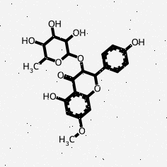 COc1cc(O)c2c(c1)OC(c1ccc(O)cc1)C(OC1OC(C)C(O)C(O)C1O)C2=O